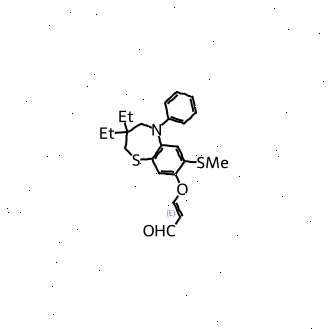 CCC1(CC)CSc2cc(O/C=C/C=O)c(SC)cc2N(c2ccccc2)C1